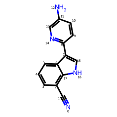 N#Cc1cccc2c(-c3ccc(N)cn3)c[nH]c12